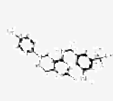 Cc1nc2c(c(N[C@H](C)c3cc(N)cc(C(F)(F)F)c3)n1)CN(c1ccc(Br)cn1)CC2